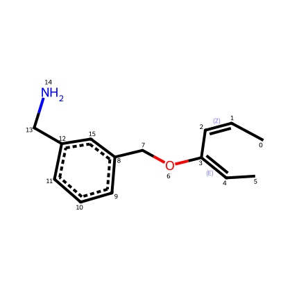 C/C=C\C(=C/C)OCc1cccc(CN)c1